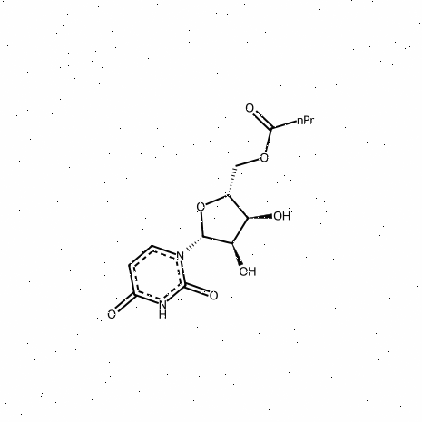 CCCC(=O)OC[C@H]1O[C@@H](n2ccc(=O)[nH]c2=O)[C@H](O)[C@@H]1O